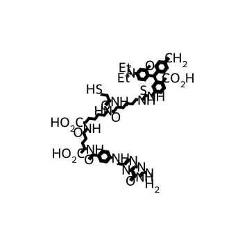 C=c1ccc2c(c1)Oc1cc(N(CC)CC)ccc1C=2c1cc(NC(=S)NCCCCC(NC(=O)CCS)C(=O)NCCCCC(NC(=O)CCC(NC(=O)c2ccc(NCc3cnc4nc(N)[nH]c(=O)c4n3)cc2)C(=O)O)C(=O)O)ccc1C(=O)O